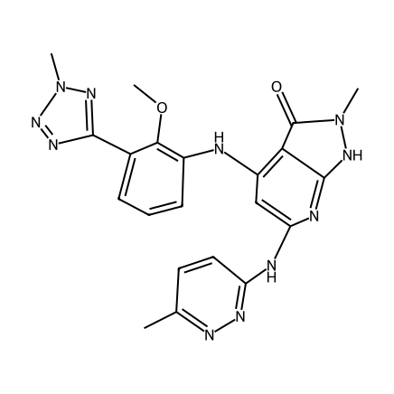 COc1c(Nc2cc(Nc3ccc(C)nn3)nc3[nH]n(C)c(=O)c23)cccc1-c1nnn(C)n1